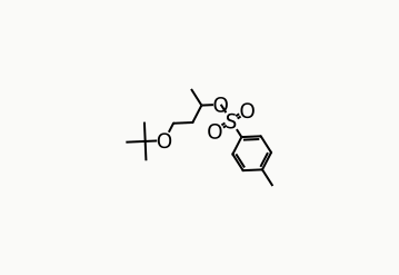 Cc1ccc(S(=O)(=O)OC(C)CCOC(C)(C)C)cc1